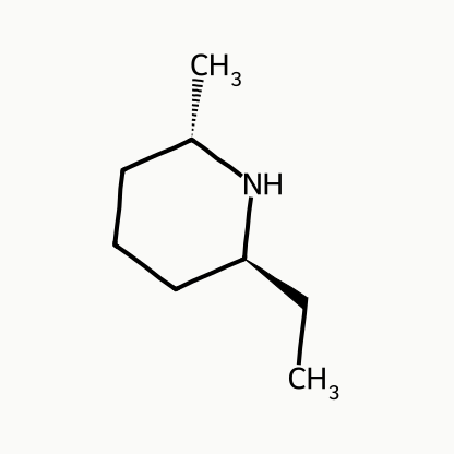 CC[C@H]1CCC[C@H](C)N1